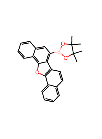 CC1(C)OB(c2cc3ccccc3c3oc4c5ccccc5ccc4c23)OC1(C)C